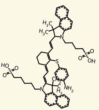 CC1(C)/C(=C\C=C2/CCCC(/C=C/C3N(CCCCS(=O)(=O)O)c4ccc5ccccc5c4C3(C)C)=C2Sc2ccc(N)cc2)N(CCCCCS(=O)(=O)O)c2ccc3ccccc3c21